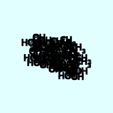 C[C@H](CC[C@@H](O[C@@H]1O[C@H](CO[C@H]2O[C@H](CO)[C@@H](O)[C@H](O)[C@H]2O)[C@@H](C2O[C@H](CO)[C@@H](O)[C@H](O)[C@H]2O)[C@H](O)[C@H]1O[C@@H]1O[C@H](CO)[C@@H](O)[C@H](O)[C@H]1O)C(C)(C)O)C1CC[C@@]2(C)C3CC=C4C(CC[C@H](O[C@@H]5O[C@H](CO)[C@@H](O)[C@H](O)[C@H]5O)C4(C)C)[C@]3(C)[C@H](O)C[C@]12C